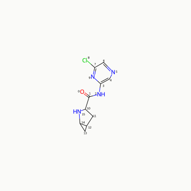 O=C(Nc1cncc(Cl)n1)C1CC2CC2N1